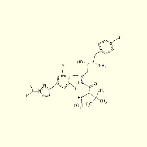 CC(C)(C(NC(=O)O)C(=O)NN(Cc1c(F)cc(-c2ccn(C(F)F)n2)cc1F)C[C@H](O)[C@@H](N)Cc1ccc(I)cc1)C(F)(F)F